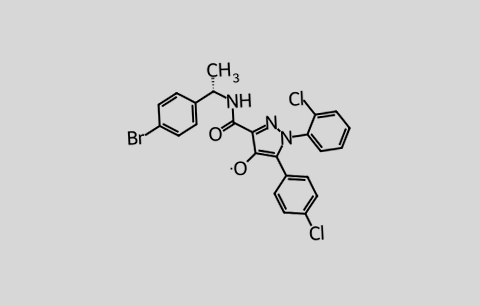 C[C@H](NC(=O)c1nn(-c2ccccc2Cl)c(-c2ccc(Cl)cc2)c1[O])c1ccc(Br)cc1